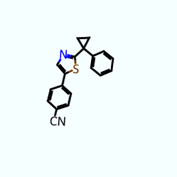 N#Cc1ccc(-c2cnc(C3(c4ccccc4)CC3)s2)cc1